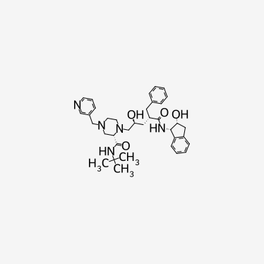 CC(C)(C)NC(=O)[C@@H]1CN(Cc2cccnc2)CCN1C[C@@H](O)C[C@H](Cc1ccccc1)C(=O)N[C@H]1c2ccccc2C[C@H]1O